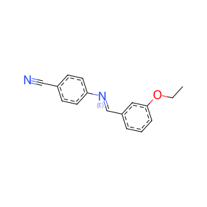 CCOc1cccc(/C=N/c2ccc(C#N)cc2)c1